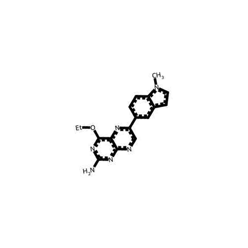 CCOc1nc(N)nc2ncc(-c3ccc4c(ccn4C)c3)nc12